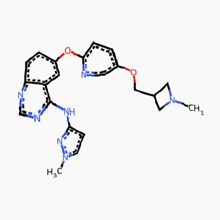 CN1CC(COc2ccc(Oc3ccc4ncnc(Nc5ccn(C)n5)c4c3)nc2)C1